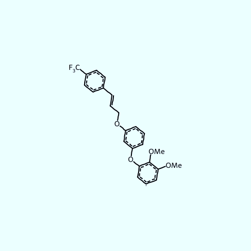 COc1c[c]cc(Oc2cccc(OC/C=C/c3ccc(C(F)(F)F)cc3)c2)c1OC